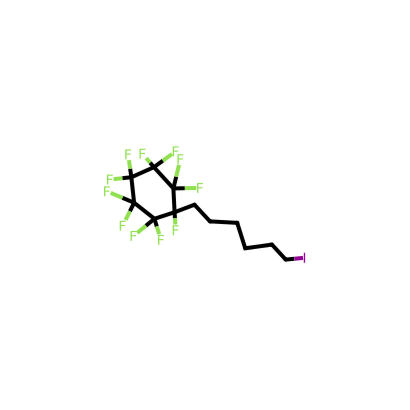 FC1(F)C(F)(F)C(F)(F)C(F)(CCCCCCI)C(F)(F)C1(F)F